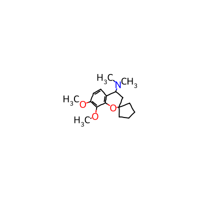 COc1ccc2c(c1OC)OC1(CCCC1)CC2N(C)C